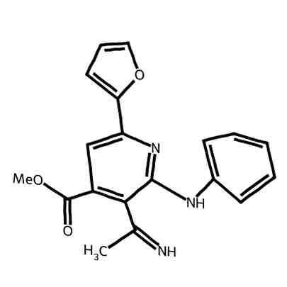 COC(=O)c1cc(-c2ccco2)nc(Nc2ccccc2)c1C(C)=N